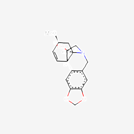 CO[C@@H]1C=C[C@@]23c4cc5c(cc4CN(C[C@@H]2O)[C@H]3C1)OCO5